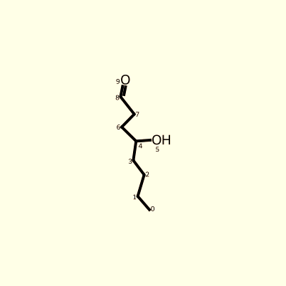 CCCCC(O)CCC=O